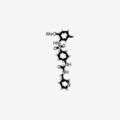 COc1ccc(C)cc1NS(=O)(=O)c1ccc(NC(=O)NCc2cccnc2)cc1